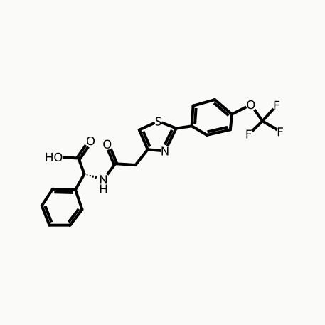 O=C(Cc1csc(-c2ccc(OC(F)(F)F)cc2)n1)N[C@@H](C(=O)O)c1ccccc1